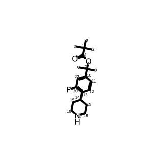 CC(C)(C)C(=O)OC(C)(C)c1ccc(C2CCNCC2)c(F)c1